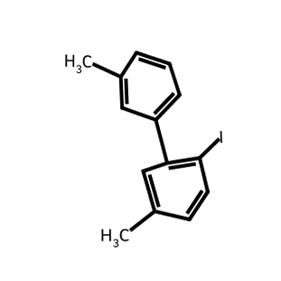 Cc1cccc(-c2cc(C)ccc2I)c1